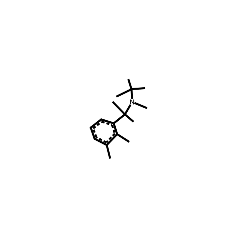 Cc1cccc(C(C)(C)N(C)C(C)(C)C)c1C